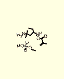 C=C(C)C(=O)ONC(CC)CC(C)(C)N.CCOS(=O)(=O)O